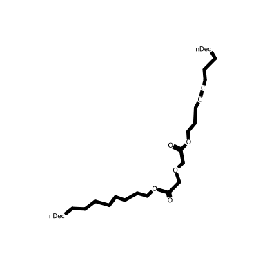 CCCCCCCCCCCCCCCCCCOC(=O)COCC(=O)OCCCCCCCCCCCCCCCCCC